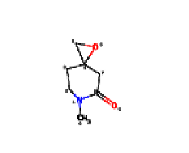 CN1CCC2(CO2)CC1=O